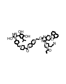 C=CC(=O)N1CCN(c2nc(OCCN3CCC4(CC3)CCN(C(=O)C3CCN(Cc5ccc(-n6c(O)nnc6-c6cc(C(C)C)c(O)cc6O)cc5)CC3)CC4)nc3c2CCN(c2cccc4cccc(Cl)c24)C3)CC1CC#N